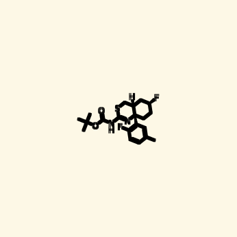 Cc1ccc(F)c([C@]23CC[C@H](F)C[C@H]2CSC(NC(=O)OC(C)(C)C)=N3)c1